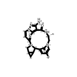 C[C@@H]1Cn2cc(F)cc(c2=O)C2C3CC3CN2c2ccn3nc(N)c(c3n2)C(=O)N1